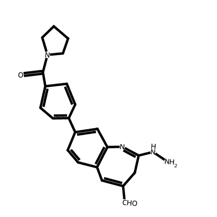 NNC1=Nc2cc(-c3ccc(C(=O)N4CCCC4)cc3)ccc2C=C(C=O)C1